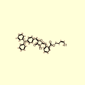 CC/C=C\CCOC(=O)c1ccccc1/N=C1/O/C(=C/c2ccc(N(c3ccccc3)c3ccccc3)cc2)C(=O)N1CC